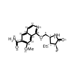 CC[C@H]1[C@H](F)C(=O)N[C@@H]1COc1nccc2cc(C(N)=O)c(OC)cc12